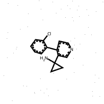 NC1(c2cnccc2-c2ccccc2Cl)CC1